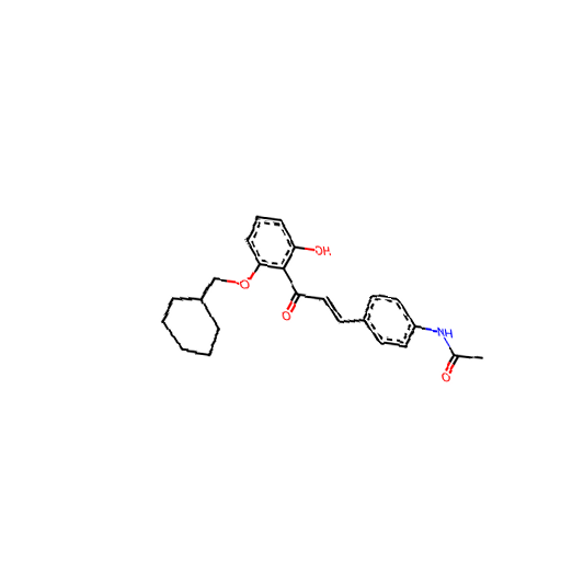 CC(=O)Nc1ccc(/C=C/C(=O)c2c(O)cccc2OCC2CCCCC2)cc1